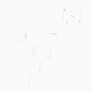 CN(C)Cc1cc(-c2nccs2)c2oc(N3CC4CCC(CC4)C3)nc2c1